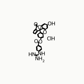 Cl.N=C(N)Nc1ccc(C(=O)Oc2ccc3c(c2)Oc2cc(O)ccc2C32OC(=O)c3ccccc32)cc1